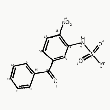 CC(C)S(=O)(=O)Nc1cc(C(=O)c2ccccc2)ccc1[N+](=O)[O-]